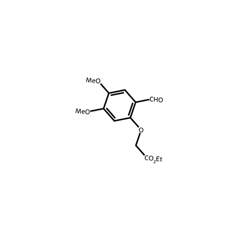 CCOC(=O)COc1cc(OC)c(OC)cc1C=O